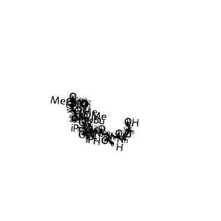 C#CC(=O)N(CCC(=O)NC(C)COC(C)(C)CCO)CCC(=O)N[C@@H](C)C(=O)N(C)C(C(=O)N[C@H](C(=O)N(C)[C@@H]([C@@H](C)CC)[C@@H](CC(=O)N1CCC[C@H]1[C@H](OC)[C@@H](C)C(=O)N[C@@H](Cc1ccccc1)C(=O)OC)OC)C(C)C)C(C)C